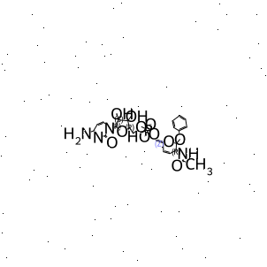 CC(=O)N[C@@H]1C=C/C(=C/OP(=O)(O)OC[C@H]2O[C@@H](n3ccc(N)nc3=O)[C@@H](O)C2O)OC1Oc1ccccc1